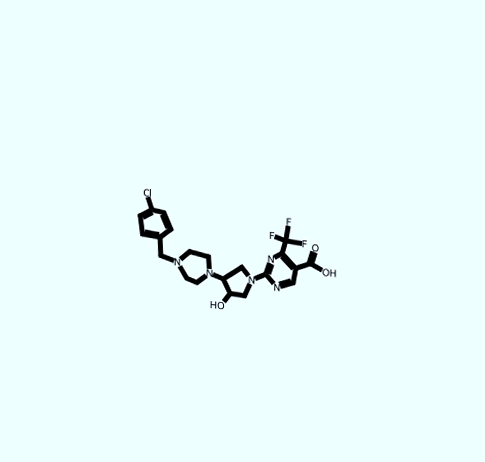 O=C(O)c1cnc(N2CC(O)C(N3CCN(Cc4ccc(Cl)cc4)CC3)C2)nc1C(F)(F)F